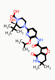 CC(C)Oc1nc(N2CCN(C(=O)O)[C@@](CO)(C(C)(C)C)C2)ccc1NC(=O)c1coc2c1C(=O)NC(C)(C)C2